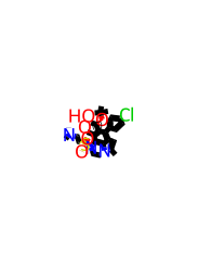 Cc1c([C@H](OC(C)(C)C)C(=O)O)c(-c2ccc(Cl)cc2)c2cc(C)n3c2c1N(S(=O)(=O)CCN(C)C)CC3